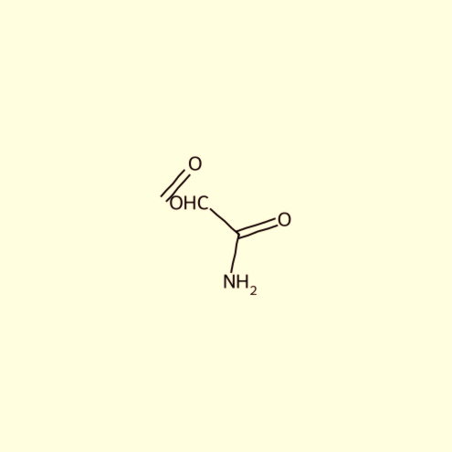 C=O.NC(=O)C=O